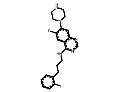 Fc1ccccc1CCCNc1ncnc2cc(N3CCNCC3)c(F)cc12